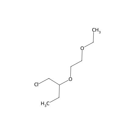 CCOCCOC(CC)CCl